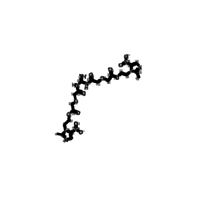 Cc1ncc([N+](=O)[O-])n1CCOC(=O)COCC(=O)NC(=N)NC(=O)COCC(=O)OCCn1c([N+](=O)[O-])cnc1C